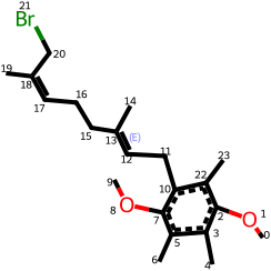 COc1c(C)c(C)c(OC)c(C/C=C(\C)CCC=C(C)CBr)c1C